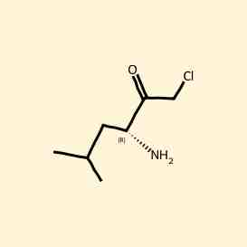 CC(C)C[C@@H](N)C(=O)CCl